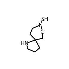 SN1CCC2(CCCN2)CC1